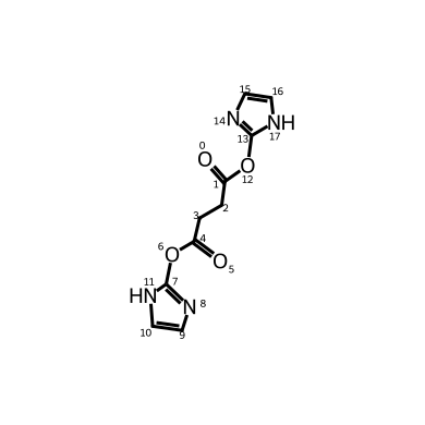 O=C(CCC(=O)Oc1ncc[nH]1)Oc1ncc[nH]1